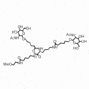 COCCNC(=O)CCCCCNC(=O)[C@H](CCCCNC(=O)CCCCCOC1OC(CO)C(O)C(O)C1NC(C)=O)NC(=O)CCCCCOC1OC(CO)C(O)C(O)C1NC(C)=O